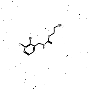 C=C(NCc1cccc(Cl)c1Br)SCCN